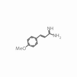 COc1ccc(/C=C/C(=N)N)cc1